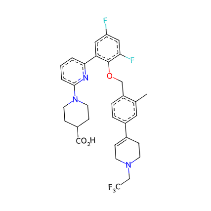 Cc1cc(C2=CCN(CC(F)(F)F)CC2)ccc1COc1c(F)cc(F)cc1-c1cccc(N2CCC(C(=O)O)CC2)n1